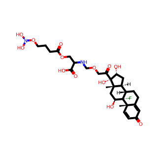 C[C@]12C=CC(=O)C=C1CC[C@H]1[C@@H]3C[C@@H](O)[C@](O)(C(=O)COCNC(COC(=O)CCCON(O)O)C(=O)O)[C@@]3(C)C[C@H](O)[C@@]12F